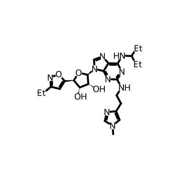 CCc1cc([C@H]2O[C@@H](n3cnc4c(NC(CC)CC)nc(NCCc5cn(C)cn5)nc43)[C@H](O)[C@@H]2O)on1